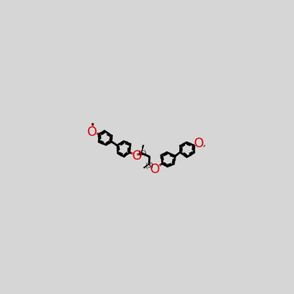 COc1ccc(-c2ccc(O[C@@H](C)C[C@H](C)Oc3ccc(-c4ccc(OC)cc4)cc3)cc2)cc1